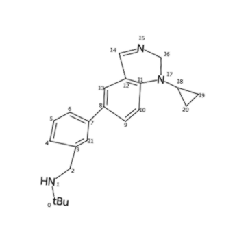 CC(C)(C)NCc1cccc(-c2ccc3c(c2)C=NCN3C2CC2)c1